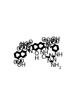 Nc1nc(Cl)nc(Nc2ccc(S(=O)(=O)O)c(/N=N/c3c(S(=O)(=O)O)cc4cc(S(=O)(=O)O)c(/N=N/c5ccc6c(S(=O)(=O)O)cccc6c5S(=O)(=O)O)c(O)c4c3N)c2)n1